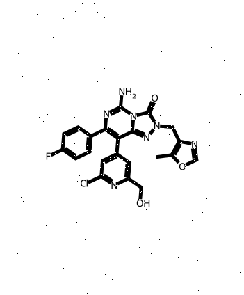 Cc1ocnc1Cn1nc2c(-c3cc(Cl)nc(CO)c3)c(-c3ccc(F)cc3)nc(N)n2c1=O